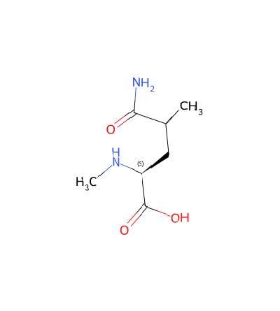 CN[C@@H](CC(C)C(N)=O)C(=O)O